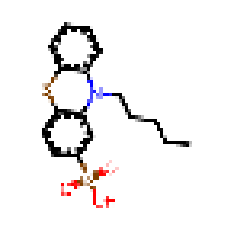 CCCCCN1c2ccccc2Sc2ccc(S(=O)(=O)O)cc21